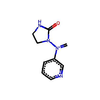 C=[N+](c1cccnc1)N1CCNC1=O